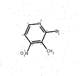 Cc1c([N+](=O)[O-])ccnc1Br